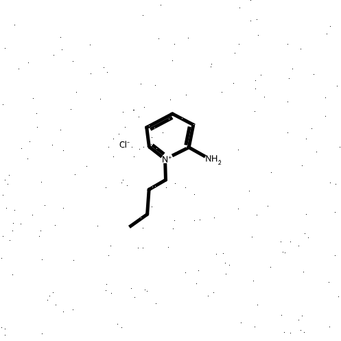 CCCC[n+]1ccccc1N.[Cl-]